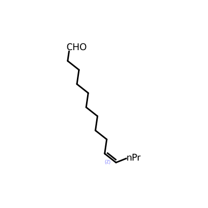 CCC/C=C\CCCCCCCCC=O